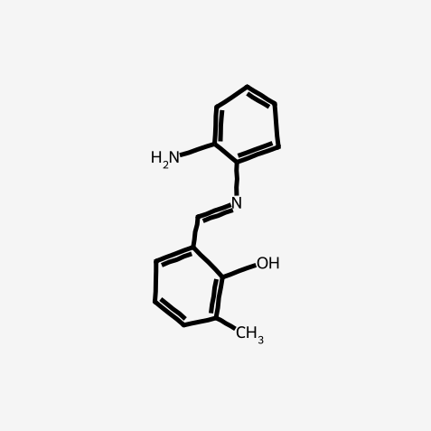 Cc1cccc(C=Nc2ccccc2N)c1O